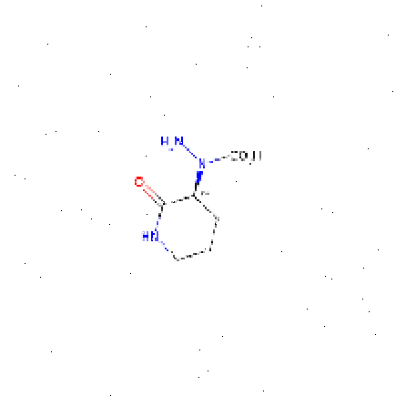 NN(C(=O)O)[C@H]1CCCNC1=O